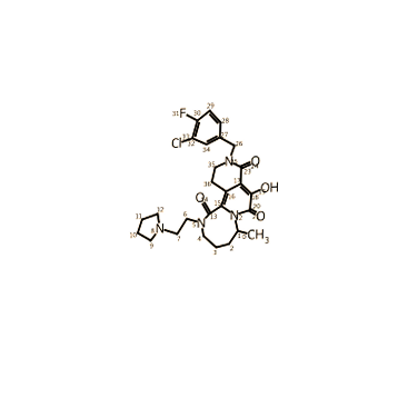 CC1CCCN(CCN2CCCC2)C(=O)c2c3c(c(O)c(=O)n21)C(=O)N(Cc1ccc(F)c(Cl)c1)CC3